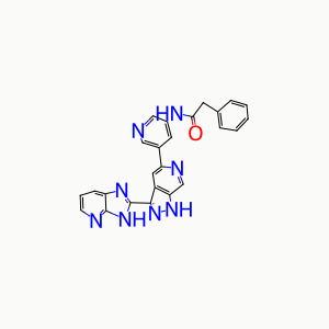 O=C(Cc1ccccc1)Nc1cncc(-c2cc3c(-c4nc5cccnc5[nH]4)n[nH]c3cn2)c1